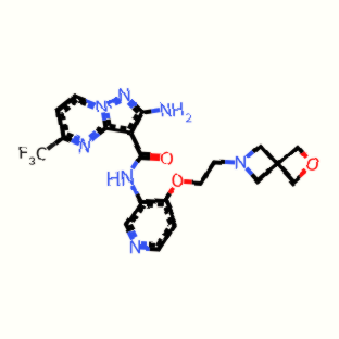 Nc1nn2ccc(C(F)(F)F)nc2c1C(=O)Nc1cnccc1OCCN1CC2(COC2)C1